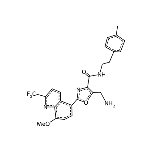 COc1ccc(-c2nc(C(=O)NCCc3ccc(C)cc3)c(CN)o2)c2ccc(C(F)(F)F)nc12